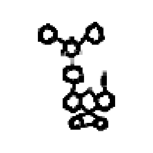 N#Cc1cccc2c1Sc1c(-c3ccc(-c4nc(-c5ccccc5)nc(-c5ccccc5)n4)cc3)cccc1C21c2ccccc2-c2ccccc21